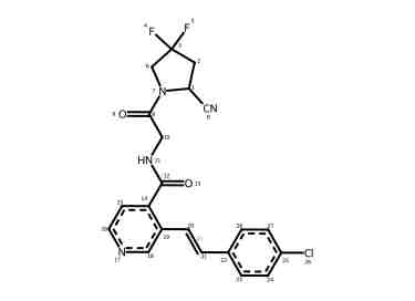 N#CC1CC(F)(F)CN1C(=O)CNC(=O)c1ccncc1/C=C/c1ccc(Cl)cc1